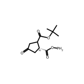 CC(C)(C)OC(=O)C1CC(=O)C[C@H]1C(=O)OP